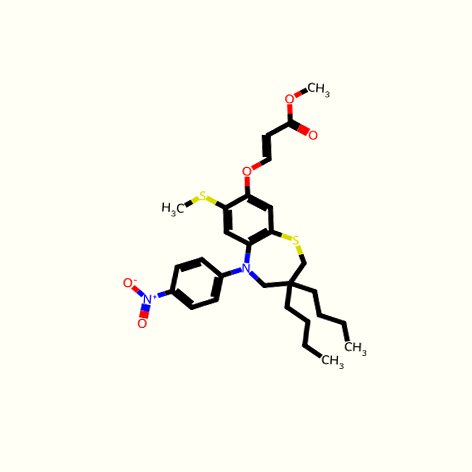 CCCCC1(CCCC)CSc2cc(O/C=C/C(=O)OC)c(SC)cc2N(c2ccc([N+](=O)[O-])cc2)C1